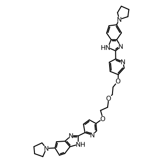 c1cc(-c2nc3cc(N4CCCC4)ccc3[nH]2)ncc1OCCOCCOc1ccc(-c2nc3cc(N4CCCC4)ccc3[nH]2)nc1